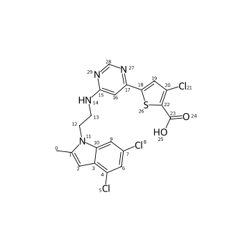 Cc1cc2c(Cl)cc(Cl)cc2n1CCNc1cc(-c2cc(Cl)c(C(=O)O)s2)ncn1